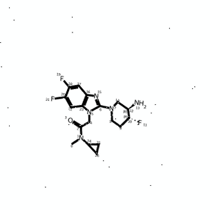 CN(C(=O)Cn1c(N2CC[C@@H](F)[C@H](N)C2)nc2cc(F)c(F)cc21)C1CC1